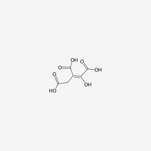 O=C(O)CC(C(=O)O)=C(O)C(=O)O